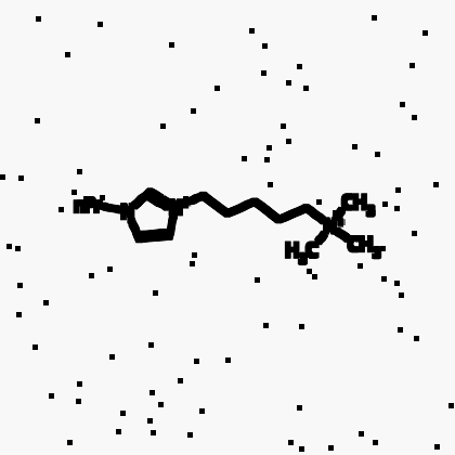 CCCn1cc[n+](CCCCC[N+](C)(C)C)c1